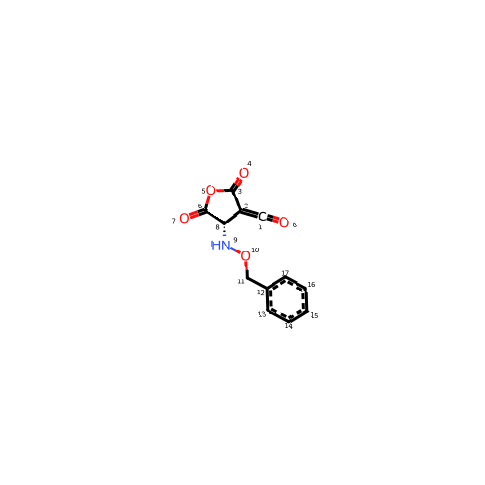 O=C=C1C(=O)OC(=O)[C@H]1NOCc1ccccc1